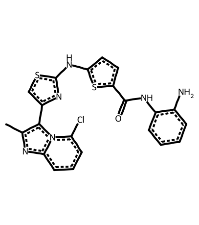 Cc1nc2cccc(Cl)n2c1-c1csc(Nc2ccc(C(=O)Nc3ccccc3N)s2)n1